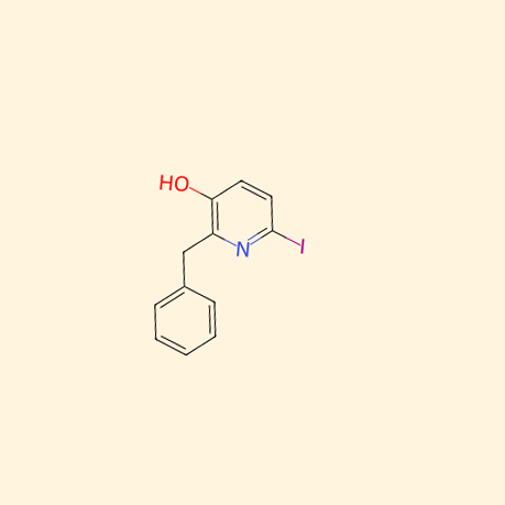 Oc1ccc(I)nc1Cc1ccccc1